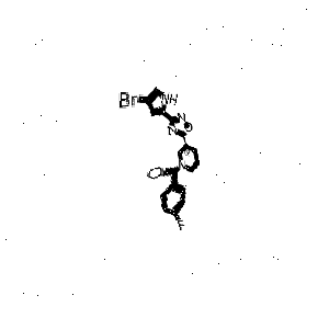 O=C(c1ccc(F)cc1)N1CCC[C@H](c2nc(-c3cc(Br)c[nH]3)no2)C1